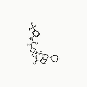 Cn1cc(N2CCOCC2)n2ncc(C(=O)N3CC4(CC(NC(=O)Nc5cccc(C(F)(F)F)c5)C4)C3)c12